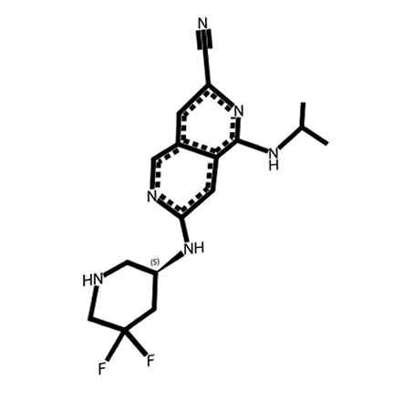 CC(C)Nc1nc(C#N)cc2cnc(N[C@@H]3CNCC(F)(F)C3)cc12